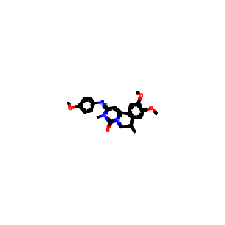 COc1ccc(/N=c2/cc3n(c(=O)n2C)CC(C)c2cc(OC)c(OC)cc2-3)cc1